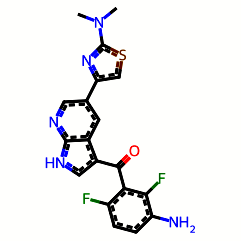 CN(C)c1nc(-c2cnc3[nH]cc(C(=O)c4c(F)ccc(N)c4F)c3c2)cs1